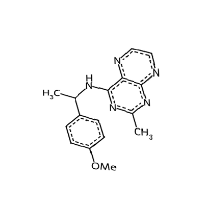 COc1ccc(C(C)Nc2nc(C)nc3nccnc23)cc1